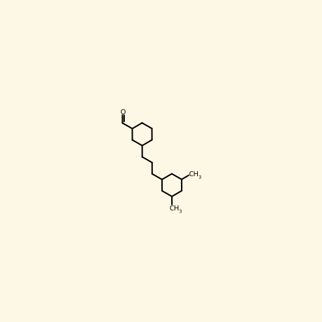 CC1CC(C)CC(CCCC2CCCC(C=O)C2)C1